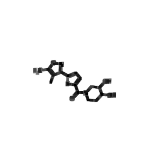 Cc1c(-c2ccc(C(=O)N3CCC(O)C(O)C3)s2)noc1C(F)(F)F